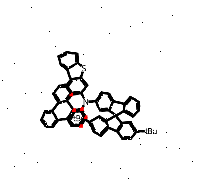 CC(C)(C)c1ccc2c(c1)C1(c3ccccc3-c3ccc(N(c4ccc5c(c4)sc4ccccc45)c4ccccc4-c4ccccc4-c4ccccc4-c4ccccc4)cc31)c1cc(C(C)(C)C)ccc1-2